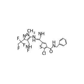 Cn1nc(C(F)(F)CF)c(CNF)c1N/C=C(\C=N)c1cc(C(=O)NCc2ccccc2)c(Cl)s1